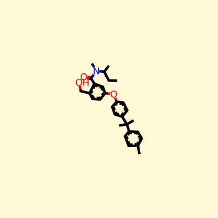 CCC(C)N(C)C(=O)c1cc(Oc2ccc(C(C)(C)c3ccc(C)cc3)cc2)ccc1CO